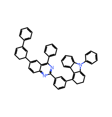 C1=CC(c2ccccc2)=CC(c2ccc3nc(-c4cccc(C5=c6c(n(-c7ccccc7)c7ccccc67)=CCC5)c4)nc(-c4ccccc4)c3c2)C1